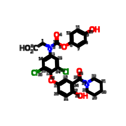 O=C(O)CN(C(=O)Oc1ccc(O)cc1)c1cc(Cl)c(Oc2ccc(O)c(C(=O)N3CCCCC3)c2)c(Cl)c1